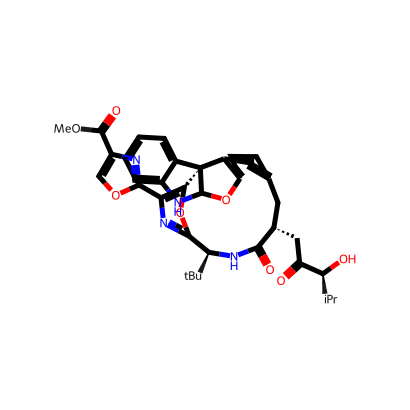 COC(=O)c1coc(-c2nc3oc2[C@@]24c5ccccc5NC2Oc2ccc(cc24)C[C@H](CC(=O)[C@@H](O)C(C)C)C(=O)N[C@H]3C(C)(C)C)n1